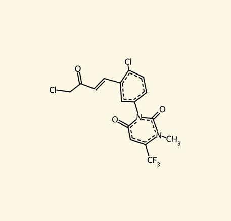 Cn1c(C(F)(F)F)cc(=O)n(-c2ccc(Cl)c(C=CC(=O)CCl)c2)c1=O